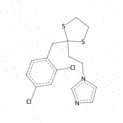 Clc1ccc(CC2(CCn3ccnc3)SCCS2)c(Cl)c1